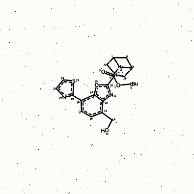 CC(C)(C)OC(=O)N1C2CC1CN(c1nc3c(CO)ccc(-c4nccs4)c3o1)C2